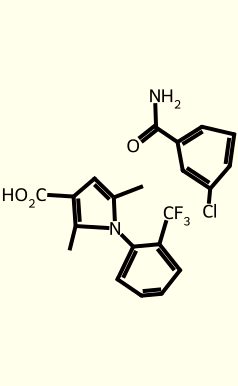 Cc1cc(C(=O)O)c(C)n1-c1ccccc1C(F)(F)F.NC(=O)c1cccc(Cl)c1